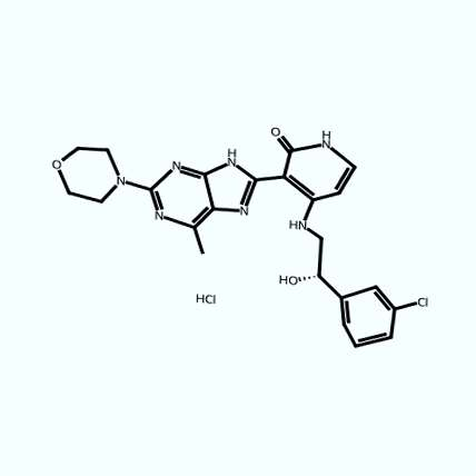 Cc1nc(N2CCOCC2)nc2[nH]c(-c3c(NC[C@@H](O)c4cccc(Cl)c4)cc[nH]c3=O)nc12.Cl